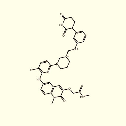 CNC(=O)COc1cc2cc(Nc3nc(N4CCC[C@H](CNc5cccc(C6CCC(=O)NC6=O)c5)C4)ncc3Cl)ccc2n(C)c1=O